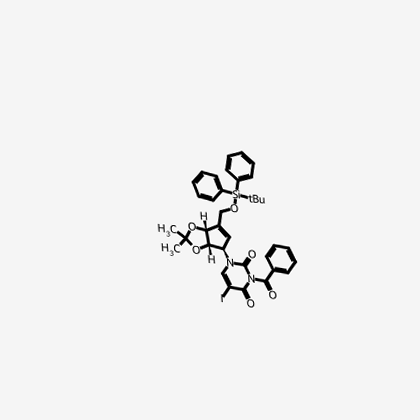 CC1(C)O[C@@H]2[C@H](O1)C(CO[Si](c1ccccc1)(c1ccccc1)C(C)(C)C)=C[C@H]2n1cc(I)c(=O)n(C(=O)c2ccccc2)c1=O